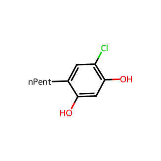 CCCCCc1cc(Cl)c(O)cc1O